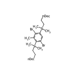 CCCCCCCCCCCC[Si](C)(C)c1cc(Br)c([Si](C)(C)CCCCCCCCCCCC)c(C)c1Br